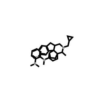 CC1N(CC2CC2)CC2Cc3ccc(O)cc3C23C2CCC13CCC2N(C)c1ccccc1N(C)C